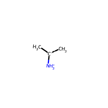 C[C-](C)[NH3+]